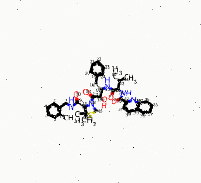 Cc1ccccc1CNC(=O)[C@H]1N(C(=O)[C@@H](O)[C@H](Cc2ccccc2)NC(=O)[C@@H](NC(=O)c2ccc3ccccc3n2)C(C)C)CSC1(C)C